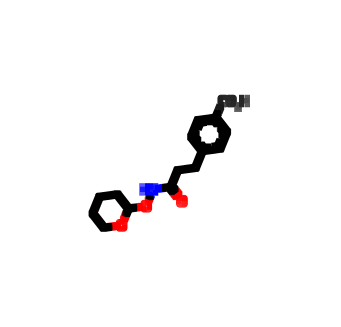 O=C(CCc1ccc(C(=O)O)cc1)NOC1CCCCO1